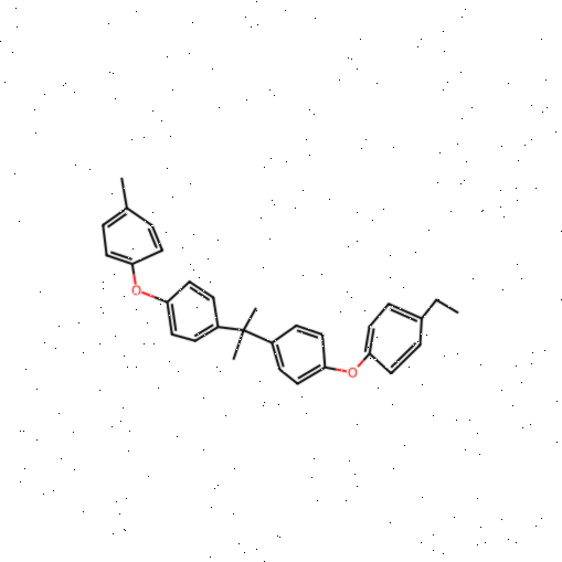 CCc1ccc(Oc2ccc(C(C)(C)c3ccc(Oc4ccc(C)cc4)cc3)cc2)cc1